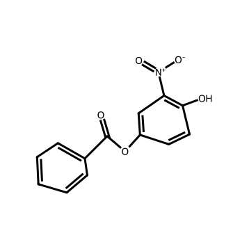 O=C(Oc1ccc(O)c([N+](=O)[O-])c1)c1ccccc1